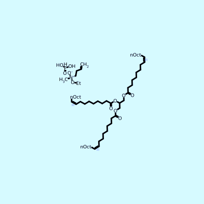 C=CCC[N+](C)([O-])OCC.CCCCCCCC/C=C\CCCCCCCC(=O)OCC(COC(=O)CCCCCCC/C=C\CCCCCCCC)OC(=O)CCCCCCC/C=C\CCCCCCCC.O=[PH](O)O